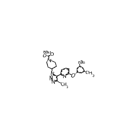 CCCCc1cc(C)cc(Oc2cccc(-c3c(C)nnn3C3CCN(C(=O)OC(C)(C)C)CC3)n2)c1